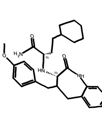 COc1ccc(CC2Cc3ccccc3NC(=O)[C@H]2N[C@@H](CCC2CCCCC2)C(N)=O)cc1